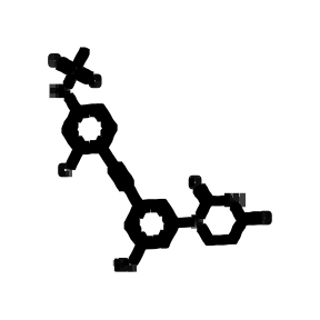 CC(C)(C)c1cc(C#Cc2ccc(NS(C)(=O)=O)cc2Cl)cc(N2CCC(=O)NC2=O)c1